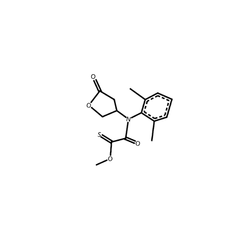 COC(=S)C(=O)N(c1c(C)cccc1C)C1COC(=O)C1